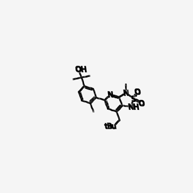 Cc1ccc(C(C)(C)O)cc1-c1cc(CC(C)(C)C)c2c(n1)N(C)S(=O)(=O)N2